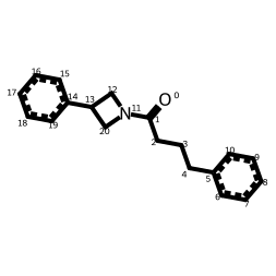 O=C(CCCc1ccccc1)N1CC(c2ccccc2)C1